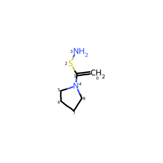 C=C(SN)N1CCCC1